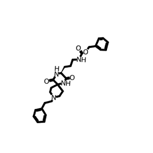 O=C(NCCC[C@@H]1NC(=O)C2(CCN(CCc3ccccc3)CC2)NC1=O)OCc1ccccc1